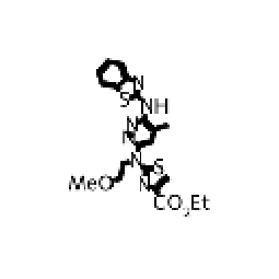 CCOC(=O)c1csc(N(CCOC)c2cc(C)c(Nc3nc4ccccc4s3)nn2)n1